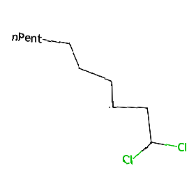 CCCCCCCC[CH]CC(Cl)Cl